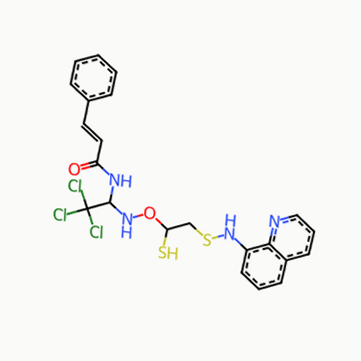 O=C(C=Cc1ccccc1)NC(NOC(S)CSNc1cccc2cccnc12)C(Cl)(Cl)Cl